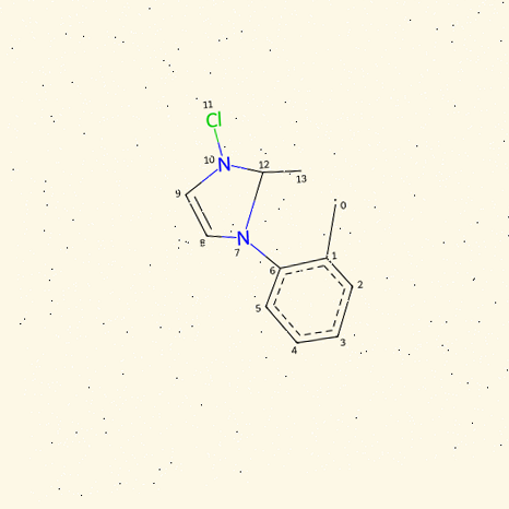 [CH2]c1ccccc1N1C=CN(Cl)C1C